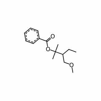 CCC(COC)C(C)(C)OC(=O)c1ccccc1